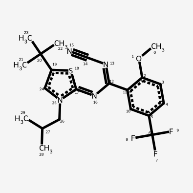 COc1ccc(C(F)(F)F)cc1C(=NC#N)N=c1sc(C(C)(C)C)cn1CC(C)C